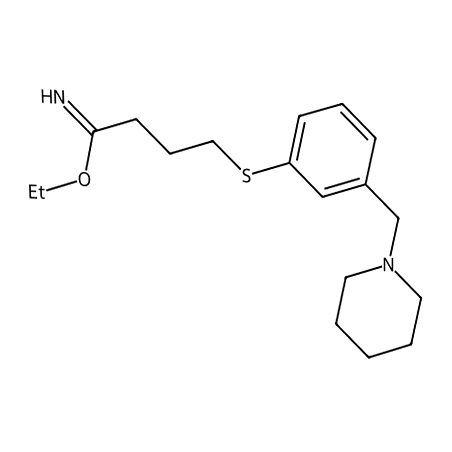 CCOC(=N)CCCSc1cccc(CN2CCCCC2)c1